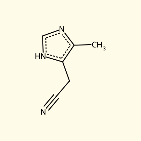 Cc1nc[nH]c1CC#N